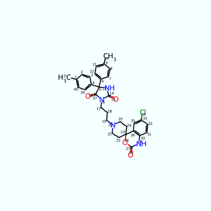 Cc1ccc(C2(c3ccc(C)cc3)NC(=O)N(CCCN3CCC4(CC3)OC(=O)Nc3ccc(Cl)cc34)C2=O)cc1